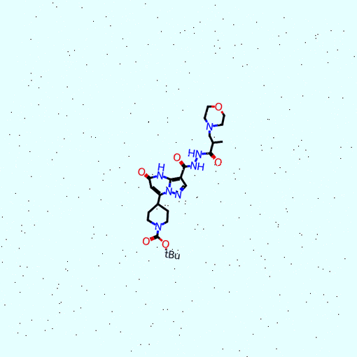 CC(CN1CCOCC1)C(=O)NNC(=O)c1cnn2c(C3CCN(C(=O)OC(C)(C)C)CC3)cc(=O)[nH]c12